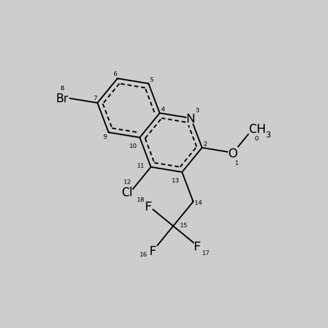 COc1nc2ccc(Br)cc2c(Cl)c1CC(F)(F)F